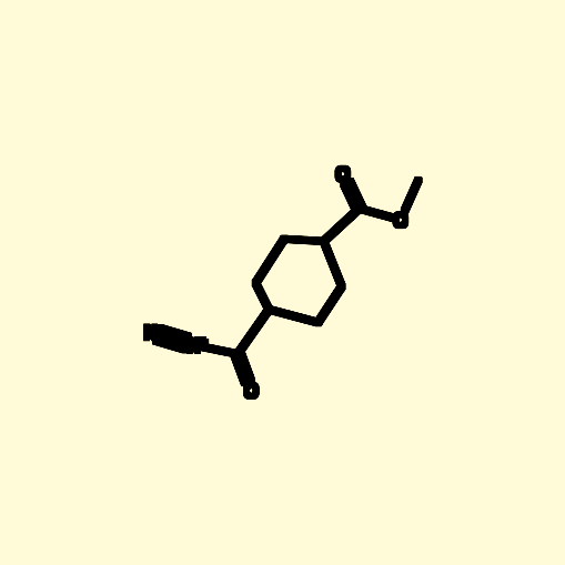 COC(=O)C1CCC(C(=O)[N+]#N)CC1